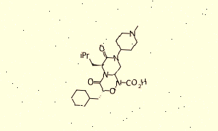 CC(C)C[C@H]1C(=O)N(C2CCN(C)CC2)CC2N(C(=O)O)O[C@H](CC3CCCCC3)C(=O)N21